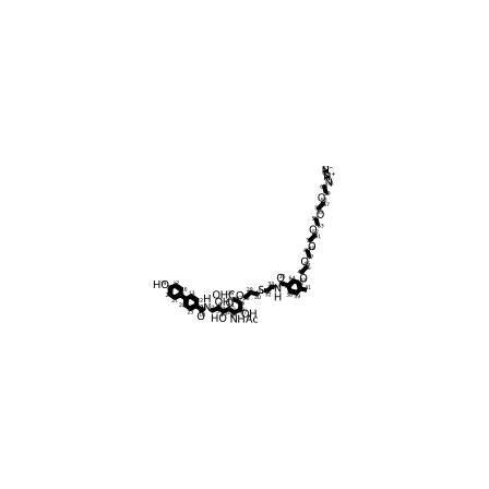 CC(=O)N[C@H]1[C@H]([C@H](O)[C@H](O)CNC(=O)c2ccc(-c3ccc(O)cc3)cc2)O[C@](C=O)(OCCCSCCNC(=O)c2ccc(C)c(OCCOCCOCCOCCOCCOCCN=[N+]=[N-])c2)C[C@@H]1O